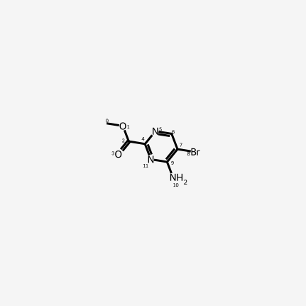 COC(=O)c1ncc(Br)c(N)n1